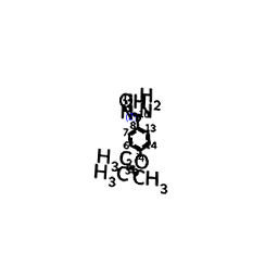 CC(C)(C)Oc1ccc(/C(N)=N/O)cc1